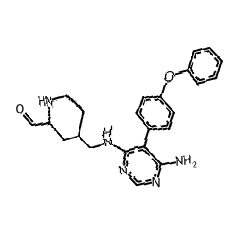 Nc1ncnc(NCC2CCNC(C=O)C2)c1-c1ccc(Oc2ccccc2)cc1